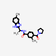 Cc1cc(C(=O)NC(C)c2nc3cc(C#N)ccc3[nH]2)ccc1C(=O)N1CCCC1